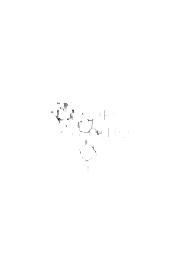 CC(C)c1nc2c(c(-c3ccc(F)cc3)c1C=O)CCn1nnnc1-2